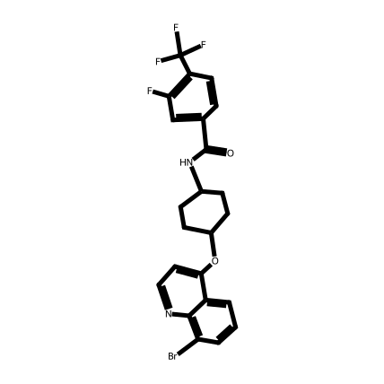 O=C(NC1CCC(Oc2ccnc3c(Br)cccc23)CC1)c1ccc(C(F)(F)F)c(F)c1